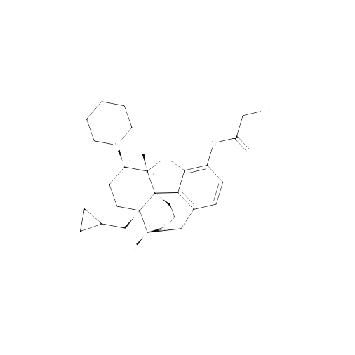 O=C(CO)Nc1ccc2c3c1O[C@H]1[C@H](N4CCCCC4)CC[C@@]4(CC5CC5)[C@@H](C2)NCC[C@]314